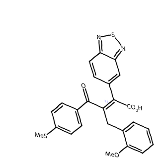 COc1ccccc1C/C(C(=O)c1ccc(SC)cc1)=C(\C(=O)O)c1ccc2nsnc2c1